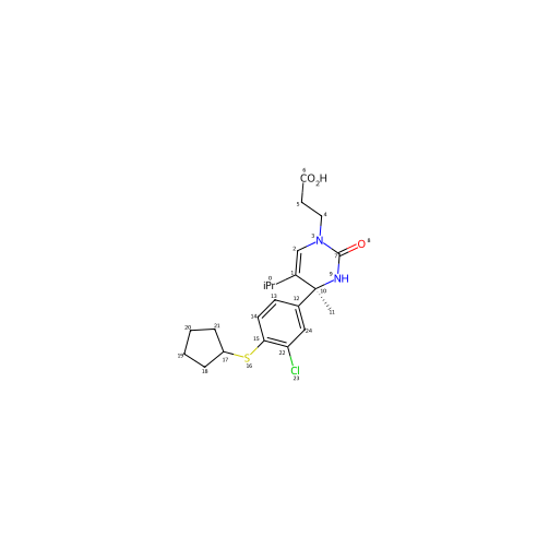 CC(C)C1=CN(CCC(=O)O)C(=O)N[C@@]1(C)c1ccc(SC2CCCC2)c(Cl)c1